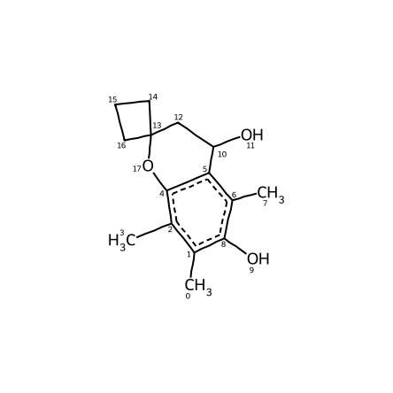 Cc1c(C)c2c(c(C)c1O)C(O)CC1(CCC1)O2